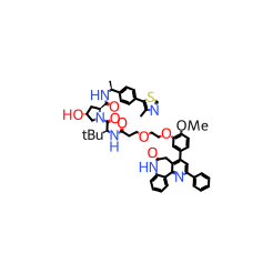 COc1ccc(-c2cc(-c3ccccc3)nc3c2CC(=O)Nc2ccccc2-3)cc1OCCOCCC(=O)N[C@H](C(=O)N1C[C@H](O)C[C@H]1C(=O)N[C@@H](C)c1ccc(-c2scnc2C)cc1)C(C)(C)C